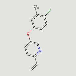 C=Cc1ccc(Oc2ccc(F)c(C(F)(F)F)c2)cn1